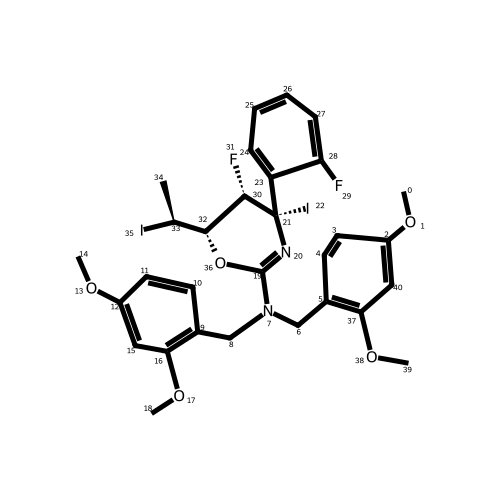 COc1ccc(CN(Cc2ccc(OC)cc2OC)C2=N[C@](I)(c3ccccc3F)[C@@H](F)[C@@H]([C@H](C)I)O2)c(OC)c1